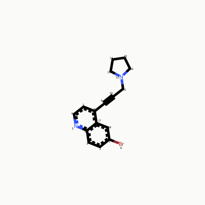 Brc1ccc2nccc(C#CCN3CCCC3)c2c1